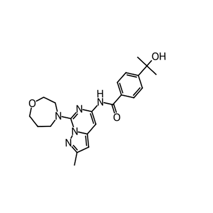 Cc1cc2cc(NC(=O)c3ccc(C(C)(C)O)cc3)nc(N3CCCOCC3)n2n1